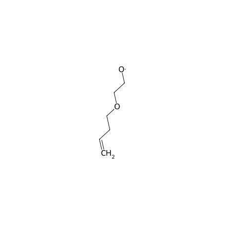 C=CCCOCC[O]